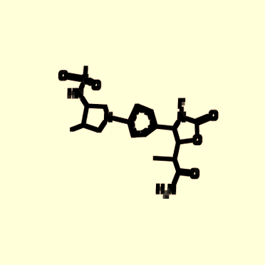 CC1CN(c2ccc(C3C(C(C)C(N)=O)OC(=O)N3F)cc2)CC1NS(C)(=O)=O